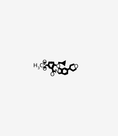 CS(=O)(=O)c1ccc(OCC2CC2)c(C(=O)N2Cc3ccc(C4CCOCC4)cc3C2)c1